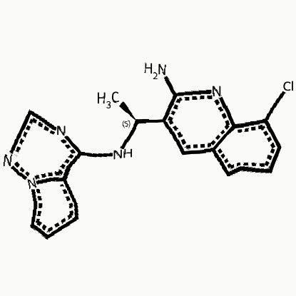 C[C@H](Nc1ncnn2cccc12)c1cc2cccc(Cl)c2nc1N